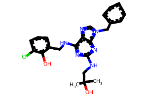 CC(C)(O)CNc1nc(NCc2cccc(Cl)c2O)c2ncn(Cc3ccccc3)c2n1